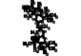 CC(C)(Sc1cc(C(C)(C)C)c(O)c(C(C)(C)C)c1)Sc1cc(C(C)(C)C)c(OC(=O)CC(=O)O)c(C(C)(C)C)c1